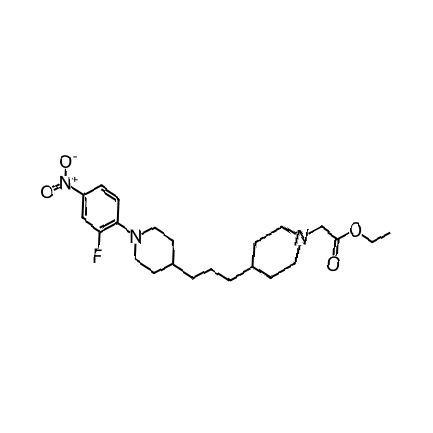 CCOC(=O)CN1CCC(CCCC2CCN(c3ccc([N+](=O)[O-])cc3F)CC2)CC1